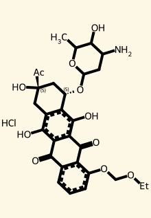 CCOCOc1cccc2c1C(=O)c1c(O)c3c(c(O)c1C2=O)C[C@@](O)(C(C)=O)C[C@@H]3OC1CC(N)C(O)C(C)O1.Cl